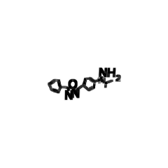 CC(C)[C@H](N)c1ccc(-c2nnc(-c3ccccc3)o2)cc1